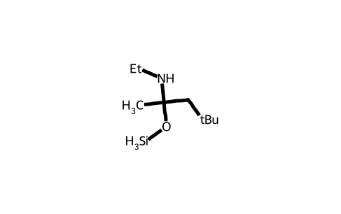 CCNC(C)(CC(C)(C)C)O[SiH3]